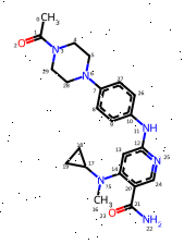 CC(=O)N1CCN(c2ccc(Nc3cc(N(C)C4CC4)c(C(N)=O)cn3)cc2)CC1